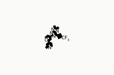 Cc1cc([C@H]2C[C@H](c3nc(C4CC(C(F)(F)F)C4)c4nc(C)c(C)nc4n3)CCO2)ccn1